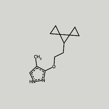 Cc1c[nH]nc1OCCC1C2(CC2)C12CC2